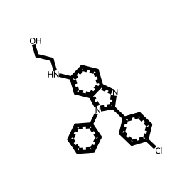 OCCNc1ccc2nc(-c3ccc(Cl)cc3)n(-c3ccccc3)c2c1